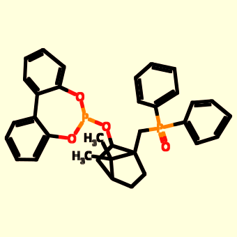 CC1(C)C2CCC1(CP(=O)(c1ccccc1)c1ccccc1)C(Op1oc3ccccc3c3ccccc3o1)C2